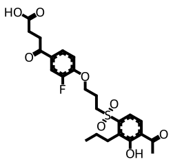 CCCc1c(S(=O)(=O)CCCOc2ccc(C(=O)CCC(=O)O)cc2F)ccc(C(C)=O)c1O